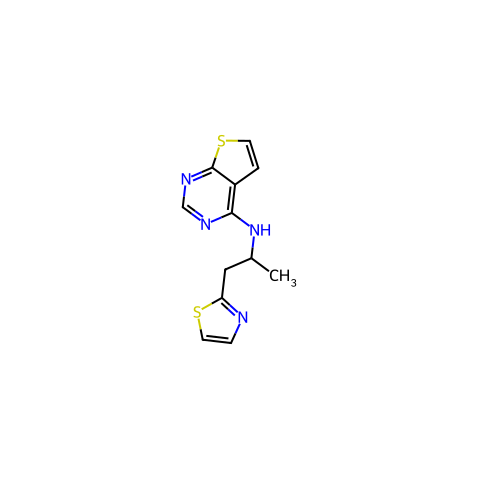 CC(Cc1nccs1)Nc1ncnc2sccc12